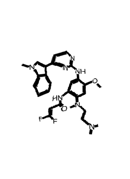 COc1cc(N(C)CCN(C)C)c(NC(=O)C=C(F)F)cc1Nc1nccc(-c2cn(C)c3ccccc23)n1